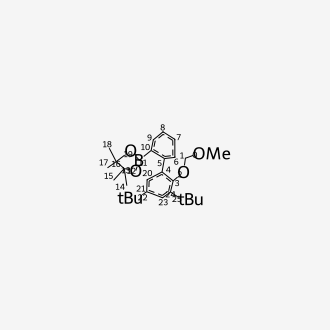 COCOc1c(-c2ccccc2B2OC(C)(C)C(C)(C)O2)cc(C(C)(C)C)cc1C(C)(C)C